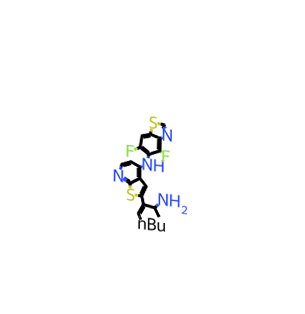 CCCC/C=C(/c1cc2c(Nc3c(F)cc4scnc4c3F)ccnc2s1)C(C)N